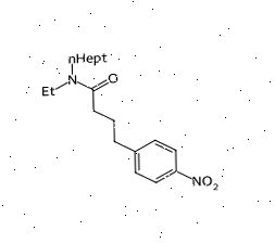 CCCCCCCN(CC)C(=O)CCCc1ccc([N+](=O)[O-])cc1